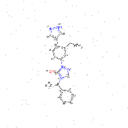 CCc1cc(-n2ncn(C(C)c3ccccc3)c2=O)ccc1-c1cn[nH]c1